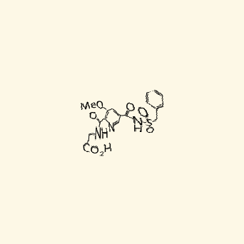 COc1cc(C(=O)NS(=O)(=O)Cc2ccccc2)cnc1C(=O)NCC(=O)O